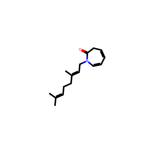 CC(C)=CCC/C(C)=C/CN1C=CC=CCC1=O